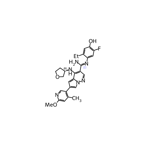 CCc1cc(O)c(F)cc1/N=C(\N)c1cnn2cc(-c3cnc(OC)cc3C)cc2c1N[C@@H]1CCOC1